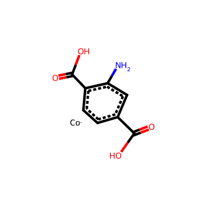 Nc1cc(C(=O)O)ccc1C(=O)O.[Co]